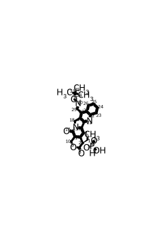 CC[C@@]1(O[PH](=O)O)C(=O)OCc2c1cc1n(c2=O)Cc2c-1nc1ccccc1c2/C=N/OC(C)(C)C